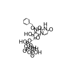 O=c1ccn([C@@H]2O[C@H](COP(=O)(O)OP(=O)(O)OP(=O)(O)O)[C@@H](O)[C@H]2NOCc2ccccc2)c(=O)[nH]1